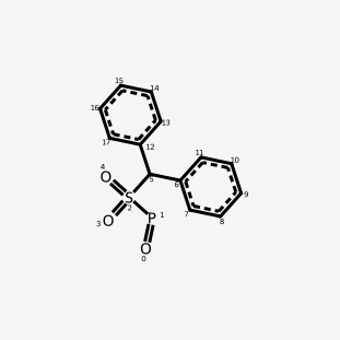 O=PS(=O)(=O)C(c1ccccc1)c1ccccc1